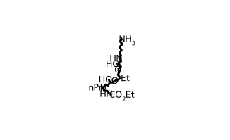 CCCN(CCNC(=O)OCC)CCC(O)COCC(CC)CCOCC(O)CNCCCCCCN